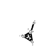 [O-][o+]1oo1